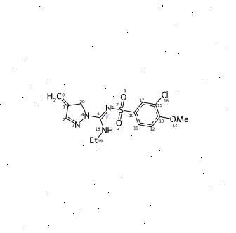 C=C1C=NN(/C(=N/S(=O)(=O)c2ccc(OC)c(Cl)c2)NCC)C1